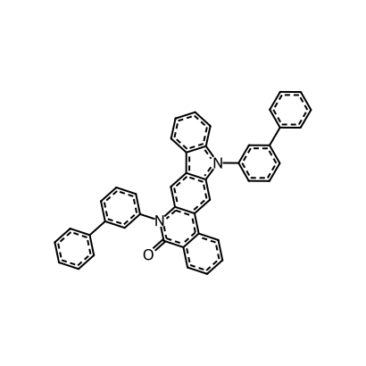 O=c1c2ccccc2c2cc3c(cc2n1-c1cccc(-c2ccccc2)c1)c1ccccc1n3-c1cccc(-c2ccccc2)c1